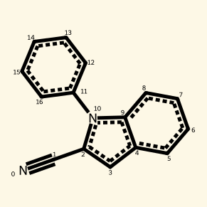 N#Cc1cc2ccccc2n1-c1ccccc1